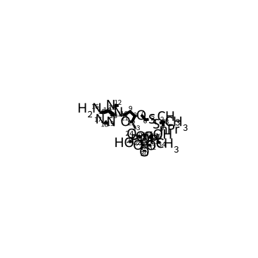 CCCC(C)(C)SSCO[C@@H]1C[C@H](n2cnc3c(N)ncnc32)O[C@@H]1COP(=O)(O)OP(=O)(O)OP(C)(=O)O